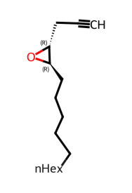 C#CC[C@H]1O[C@@H]1CCCCCCCCCCC